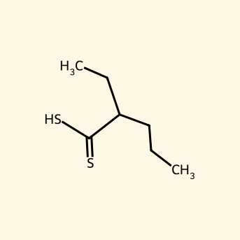 CCCC(CC)C(=S)S